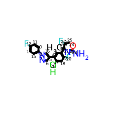 C[C@]1(c2cc(-c3cnn(-c4ccc(F)cc4)c3)ccc2F)N=C(N)OC[C@@H]1F.Cl